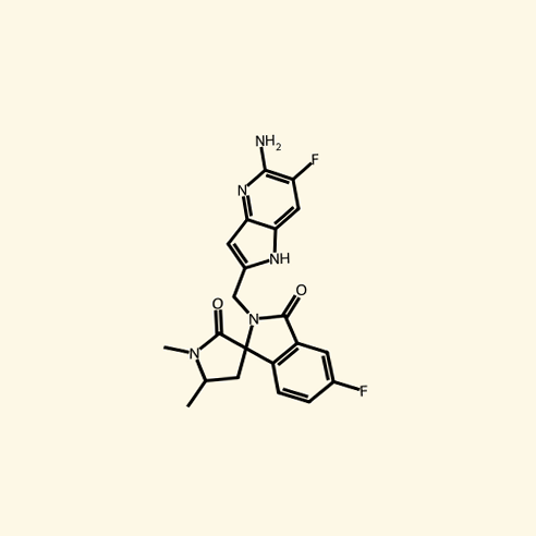 CC1CC2(C(=O)N1C)c1ccc(F)cc1C(=O)N2Cc1cc2nc(N)c(F)cc2[nH]1